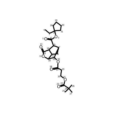 CCC1(OC(=O)C2C3CC4C(OC(=O)C42)C3OC(=O)CCOC(=O)C(C)(C)C)CCCC1